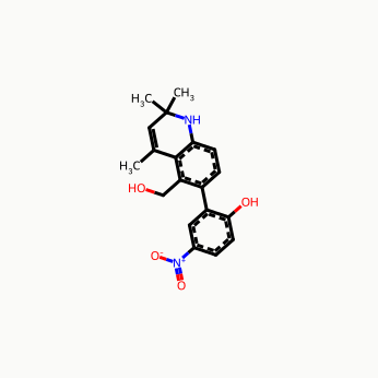 CC1=CC(C)(C)Nc2ccc(-c3cc([N+](=O)[O-])ccc3O)c(CO)c21